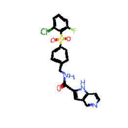 O=C(NCc1ccc(S(=O)(=O)c2c(F)cccc2Cl)cc1)c1cc2cnccc2[nH]1